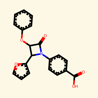 O=C(O)c1ccc(N2C(=O)C(Oc3ccccc3)C2c2ccco2)cc1